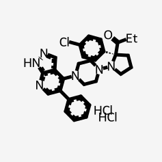 CCC(=O)[C@@]1(c2ccc(Cl)cc2)CCCN1N1CCN(c2c(-c3ccccc3)cnc3[nH]ncc23)CC1.Cl.Cl